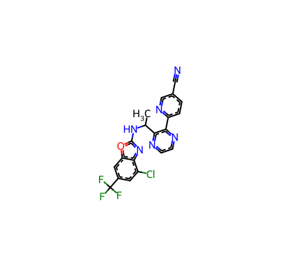 CC(Nc1nc2c(Cl)cc(C(F)(F)F)cc2o1)c1nccnc1-c1ccc(C#N)cn1